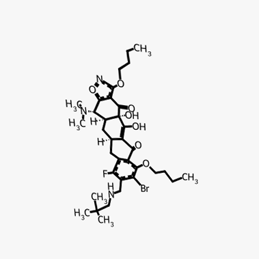 CCCCOc1noc2c1C(=O)[C@@]1(O)C(O)=C3C(=O)c4c(c(F)c(CNCC(C)(C)C)c(Br)c4OCCCC)C[C@H]3C[C@H]1[C@@H]2N(C)C